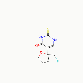 O=c1[nH]c(=S)[nH]cc1C1(CF)CCCO1